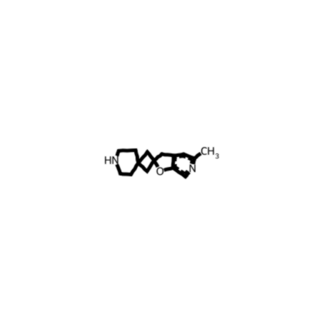 Cc1cc2c(cn1)OC1(C2)CC2(CCNCC2)C1